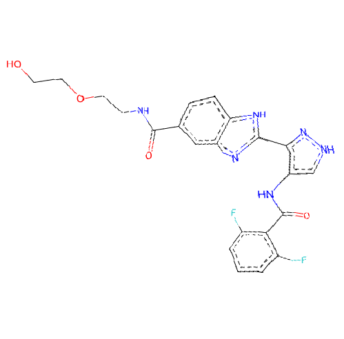 O=C(NCCOCCO)c1ccc2[nH]c(-c3n[nH]cc3NC(=O)c3c(F)cccc3F)nc2c1